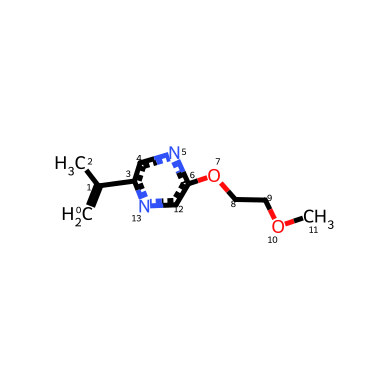 C=C(C)c1cnc(OCCOC)cn1